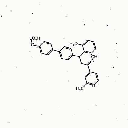 Cc1cc(/C(CC(c2ccc(-c3ccc(OC(=O)O)cc3)cc2)c2ncccc2C)=N/O)ccn1